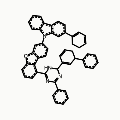 C1=CCCC(c2ccc3c4ccccc4n(-c4ccc5c(c4)oc4cccc(C6=NC(c7ccccc7)=NC(C7=CC(c8ccccc8)CC=C7)N6)c45)c3c2)=C1